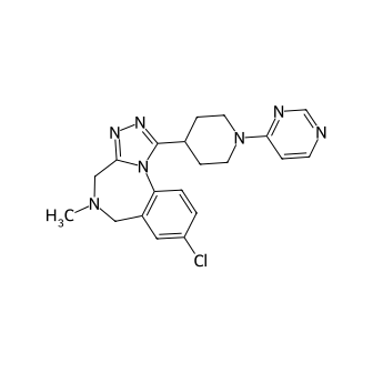 CN1Cc2cc(Cl)ccc2-n2c(nnc2C2CCN(c3ccncn3)CC2)C1